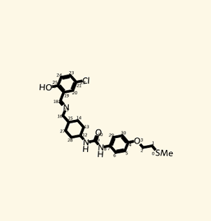 CSCCOc1ccc(NC(=O)NC2CCC(CN=Cc3cc(Cl)ccc3O)CC2)cc1